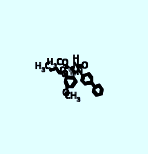 CCCCOc1cc(OC)ccc1[C@@H]1[C@H](C(=O)OC)NC(=O)N1c1ccc(-c2ccccc2)cc1